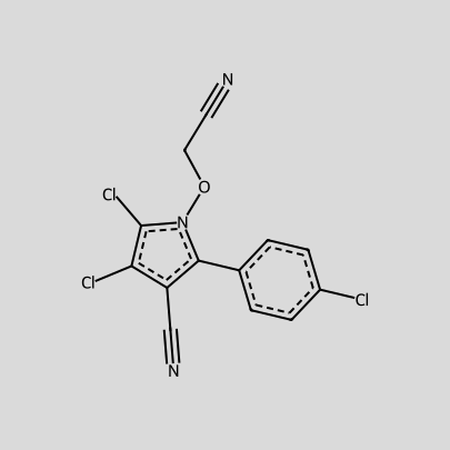 N#CCOn1c(Cl)c(Cl)c(C#N)c1-c1ccc(Cl)cc1